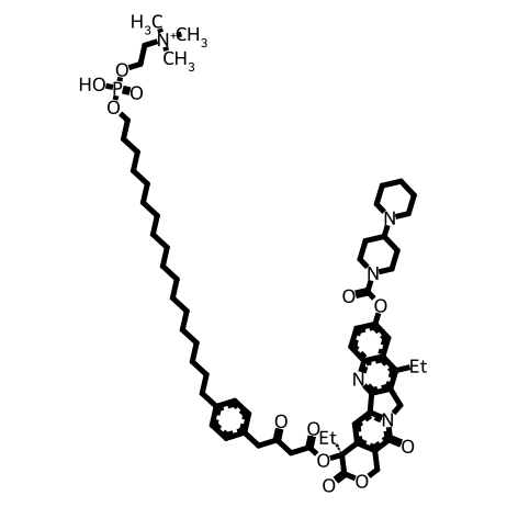 CCc1c2c(nc3ccc(OC(=O)N4CCC(N5CCCCC5)CC4)cc13)-c1cc3c(c(=O)n1C2)COC(=O)[C@@]3(CC)OC(=O)CC(=O)Cc1ccc(CCCCCCCCCCCCCCCCCCOP(=O)(O)OCC[N+](C)(C)C)cc1